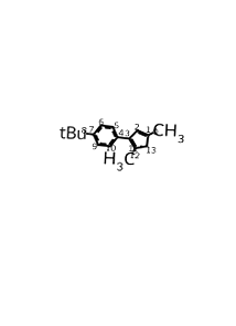 CC1=CC(c2ccc(C(C)(C)C)cc2)=C(C)[CH]1